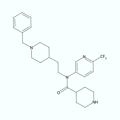 O=C(C1CCNCC1)N(CCC1CCN(Cc2ccccc2)CC1)c1ccc(C(F)(F)F)nc1